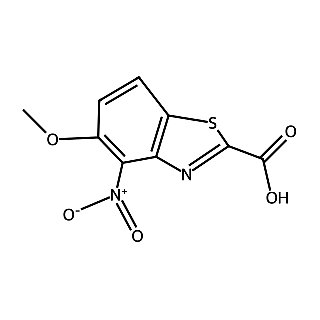 COc1ccc2sc(C(=O)O)nc2c1[N+](=O)[O-]